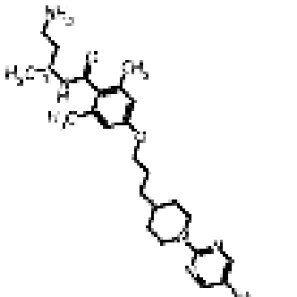 CCc1cnc(N2CCC(CCCOc3cc(C)c(C(=O)N[C@@H](C)CCN)c(C)c3)CC2)nc1